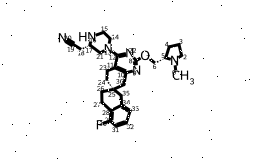 CN1CCC[C@H]1COc1nc2c(c(N3CCN[C@@H](CC#N)C3)n1)CC[C@]1(CCc3c(F)cccc3C1)C2